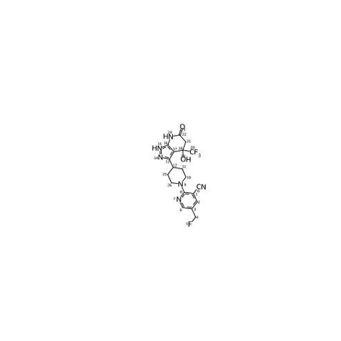 N#Cc1cc(CF)cnc1N1CCC(c2n[nH]c3c2C(O)(C(F)(F)F)CC(=O)N3)CC1